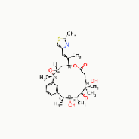 CC(=Cc1csc(C)n1)[C@@H]1C[C@H]2O[C@@]2(C)c2cccc(c2)[C@H](C)[C@H](O)[C@@H](C)C(=O)C(C)(C)[C@@H](O)CC(=O)O1